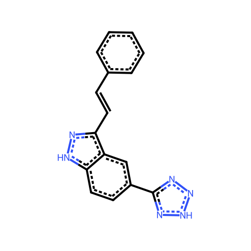 C(=C\c1n[nH]c2ccc(-c3nn[nH]n3)cc12)/c1ccccc1